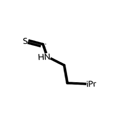 CC(C)CCN[C]=S